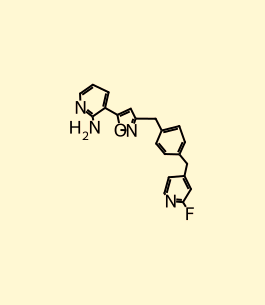 Nc1ncccc1-c1cc(Cc2ccc(Cc3ccnc(F)c3)cc2)no1